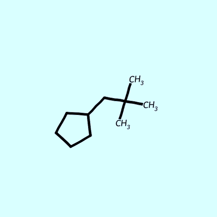 CC(C)(C)CC1CCCC1